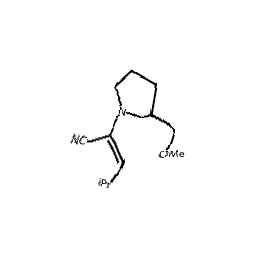 COCC1CCCN1C(C#N)=CC(C)C